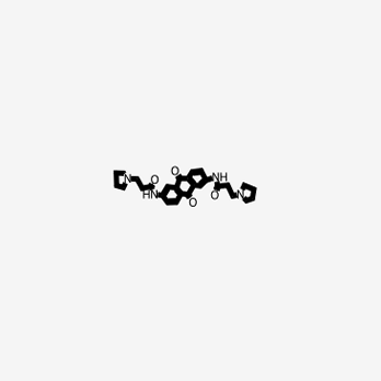 O=C(CCN1CCCC1)Nc1ccc2c(c1)C(=O)c1ccc(NC(=O)CCN3CCCC3)cc1C2=O